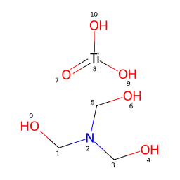 OCN(CO)CO.[O]=[Ti]([OH])[OH]